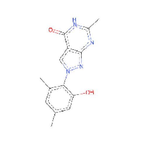 Cc1cc(C)c(-n2cc3c(=O)[nH]c(C)nc3n2)c(O)c1